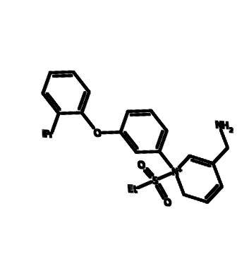 CCS(=O)(=O)[N+]1(c2cccc(Oc3ccccc3C(C)C)c2)C=C(CN)C=CC1